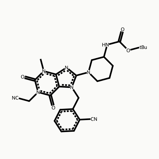 Cn1c(=O)n(CC#N)c(=O)c2c1nc(N1CCCC(NC(=O)OC(C)(C)C)C1)n2Cc1ccccc1C#N